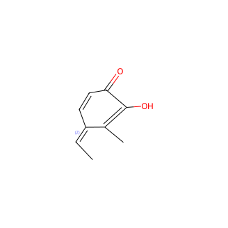 C/C=C1/C=CC(=O)C(O)=C1C